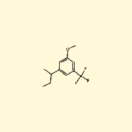 CCC(C)c1cc(OC)cc(C(F)(F)F)c1